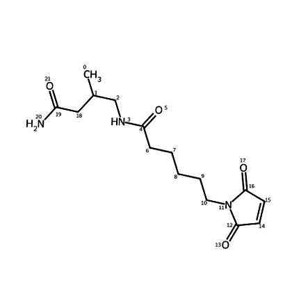 CC(CNC(=O)CCCCCN1C(=O)C=CC1=O)CC(N)=O